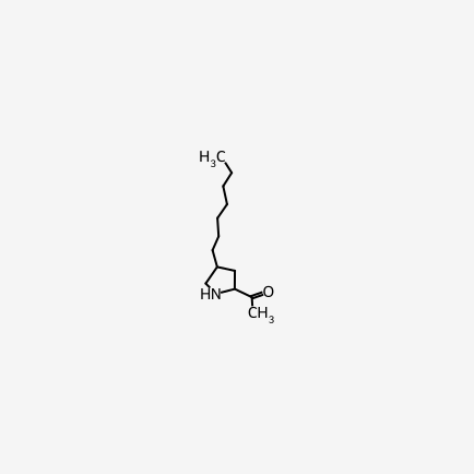 CCCCCCCC1CNC(C(C)=O)C1